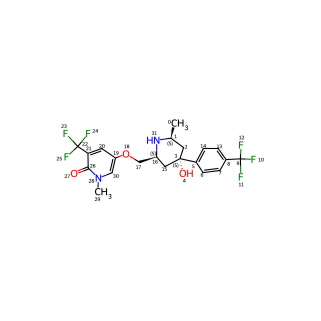 C[C@H]1C[C@@](O)(c2ccc(C(F)(F)F)cc2)C[C@@H](COc2cc(C(F)(F)F)c(=O)n(C)c2)N1